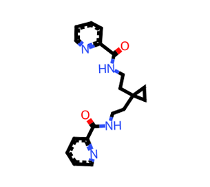 O=C(NCCC1(CCNC(=O)c2ccccn2)CC1)c1ccccn1